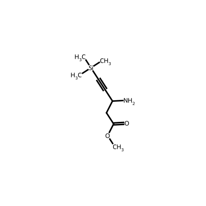 COC(=O)CC(N)C#C[Si](C)(C)C